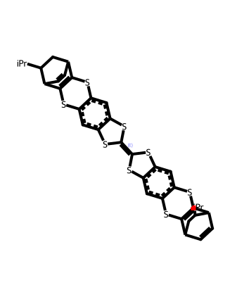 CC(C)C1CC2C=CC1C1=C2Sc2cc3c(cc2S1)S/C(=C1\Sc2cc4c(cc2S1)SC1=C(S4)C2C=CC1C(C(C)C)C2)S3